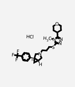 Cl.Cn1c(SCCCN2C[C@@H]3C[C@]3(c3ccc(C(F)(F)F)cc3)C2)nnc1C1CCOCC1